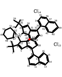 CC(C)(C)C1=Cc2c(-c3cccc4ccccc34)cccc2[CH]1[Ti+2]1([CH]2C(C(C)(C)C)=Cc3c(-c4cccc5ccccc45)cccc32)[CH]2CCCC[CH]21.[Cl-].[Cl-]